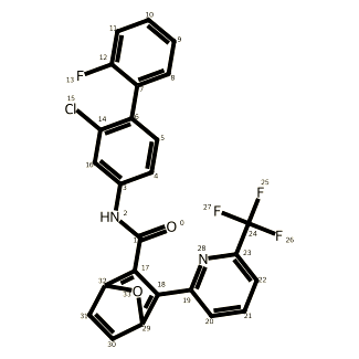 O=C(Nc1ccc(-c2ccccc2F)c(Cl)c1)c1c(-c2cccc(C(F)(F)F)n2)c2ccc1o2